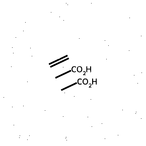 C=C.CC(=O)O.CC(=O)O